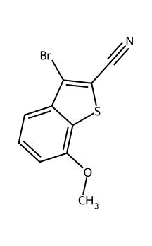 COc1cccc2c(Br)c(C#N)sc12